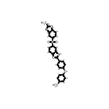 Cc1ccc(Oc2ccc(-c3nc4cc(S(=O)(=O)c5ccc6oc(C)nc6c5)ccc4o3)cc2)cc1